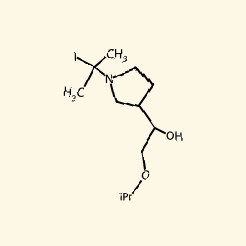 CC(C)OCC(O)C1CCN(C(C)(C)I)C1